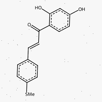 CSc1ccc(/C=C/C(=O)c2ccc(O)cc2O)cc1